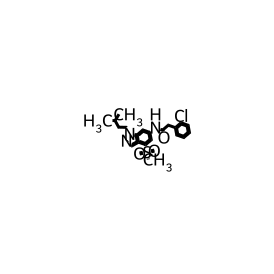 CC(C)CCn1ncc2c(S(C)(=O)=O)cc(NC(=O)Cc3ccccc3Cl)cc21